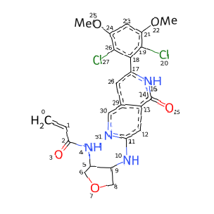 C=CC(=O)NC1COCC1Nc1cc2c(=O)[nH]c(-c3c(Cl)c(OC)cc(OC)c3Cl)cc2cn1